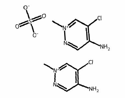 C[n+]1cc(Cl)c(N)cn1.C[n+]1cc(Cl)c(N)cn1.O=S(=O)([O-])[O-]